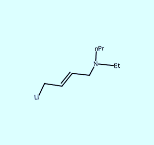 [Li][CH2]C=CCN(CC)CCC